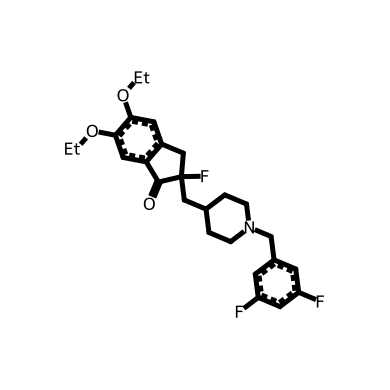 CCOc1cc2c(cc1OCC)C(=O)C(F)(CC1CCN(Cc3cc(F)cc(F)c3)CC1)C2